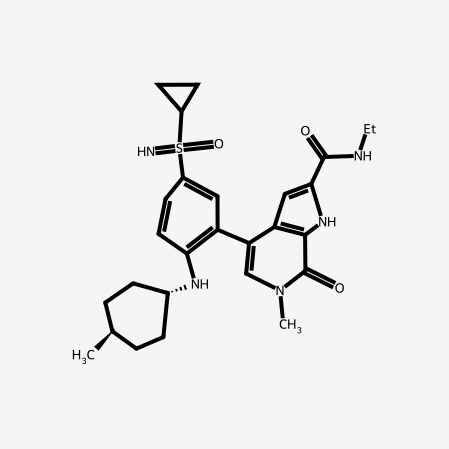 CCNC(=O)c1cc2c(-c3cc(S(=N)(=O)C4CC4)ccc3N[C@H]3CC[C@H](C)CC3)cn(C)c(=O)c2[nH]1